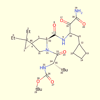 CCC1(CC)C[C@@]12C[C@@H](C(=O)NC(CC1CCC1)C(=O)C(N)=O)N(C(=O)[C@@H](NC(=O)OC(C)(C)C)C(C)(C)C)C2